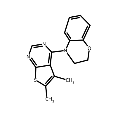 Cc1sc2ncnc(N3CCOc4ccccc43)c2c1C